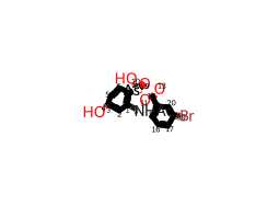 CC(=O)Nc1cc(O)ccc1[As](=O)(O)OC(=O)c1cccc(Br)c1